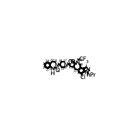 CCCn1ncc2c3c(cc(Cl)c21)C[C@@H](CC(=O)N1CCC(N2CCc4ccccc4NC2=O)CC1)C(=O)N(CC(F)(F)F)C3